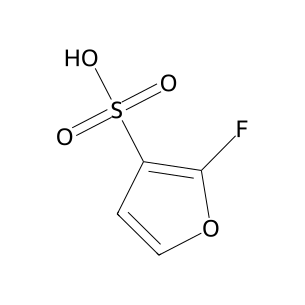 O=S(=O)(O)c1ccoc1F